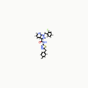 Cc1ccc(Cc2nnc(NC(=O)c3nn(Cc4ccccc4F)c4ncccc34)s2)cc1